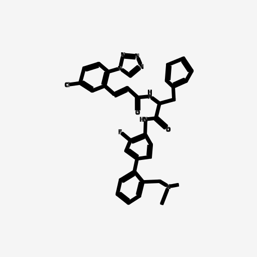 CN(C)Cc1ccccc1-c1ccc(NC(=O)C(Cc2ccccc2)NC(=O)C=Cc2cc(Cl)ccc2-n2cnnn2)c(F)c1